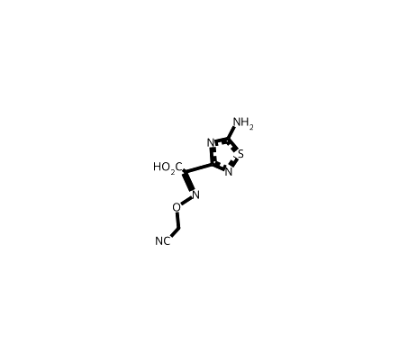 N#CCON=C(C(=O)O)c1nsc(N)n1